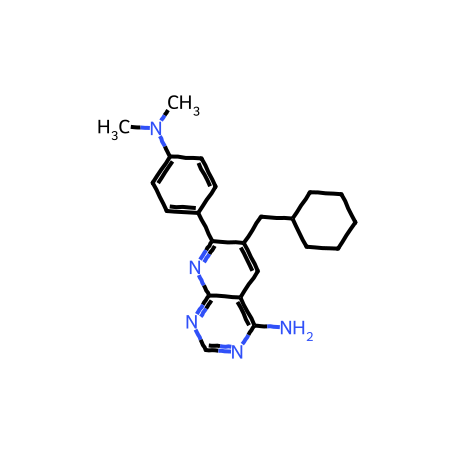 CN(C)c1ccc(-c2nc3ncnc(N)c3cc2CC2CCCCC2)cc1